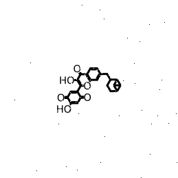 O=C1C=C(c2oc3cc(CC4CCC5C6C4C56)ccc3c(=O)c2O)C(=O)C=C1O